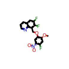 COc1cc(F)c([N+](=O)[O-])cc1OCc1c(F)c(F)cc2cccnc12